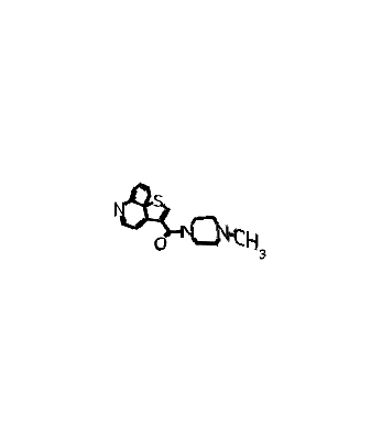 CN1CCN(C(=O)C2=CSC34CC=CC=C3N=CC=C24)CC1